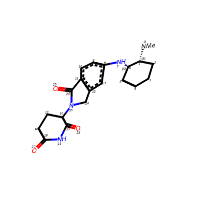 CN[C@@H]1CCCC[C@@H]1Nc1ccc2c(c1)CN(C1CCC(=O)NC1=O)C2=O